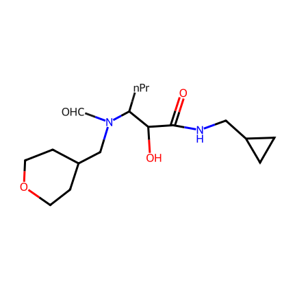 CCCC(C(O)C(=O)NCC1CC1)N(C=O)CC1CCOCC1